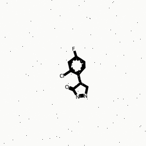 O=C1N=NCC1c1ccc(F)cc1Cl